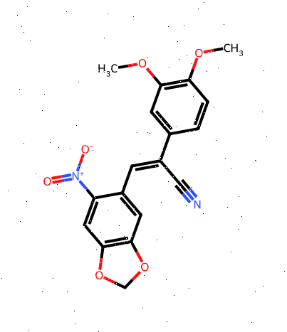 COc1ccc(C(C#N)=Cc2cc3c(cc2[N+](=O)[O-])OCO3)cc1OC